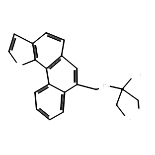 CC(CO)(CO)NCc1cc2ccc3ccoc3c2c2ccccc12